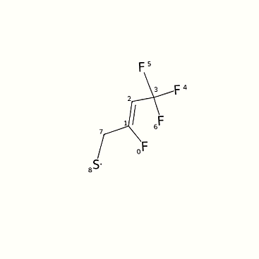 FC(=CC(F)(F)F)C[S]